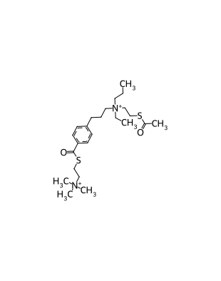 CCC[N+](CC)(CCCc1ccc(C(=O)SCC[N+](C)(C)C)cc1)CCSC(C)=O